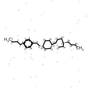 CCCCc1ccc(CC[C@H]2CC[C@H]([C@H]3CC[C@H](CCCC)CC3)CC2)cc1